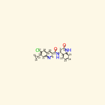 O=C1CC(NC(=O)c2cnc3cc(C4CC4)c(Cl)cc3c2)c2ccccc2N1